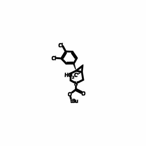 CC(C)(C)OC(=O)N1CC[C@@]2(c3ccc(Cl)c(Cl)c3)C[C@@]2(C(=O)O)C1